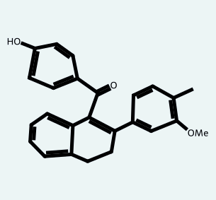 COc1cc(C2=C(C(=O)c3ccc(O)cc3)c3ccccc3CC2)ccc1C